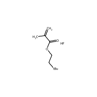 C=C(C)C(=O)OCCC(C)(C)C.F